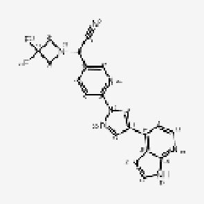 N#CC(c1ccc(-n2cc(-c3ccnc4[nH]cnc34)cn2)nc1)N1CC(F)(F)C1